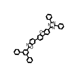 c1ccc(-c2cc(-c3ccccc3)cc(-c3nc4ccc(-c5ccc6c(c5)oc5cc(-c7nc(-c8ccccc8)nc(-c8ccccc8)n7)ccc56)cc4o3)c2)cc1